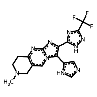 CN1CCc2nc3nc(-c4nc(C(F)(F)F)n[nH]4)c(-c4cnc[nH]4)n3cc2C1